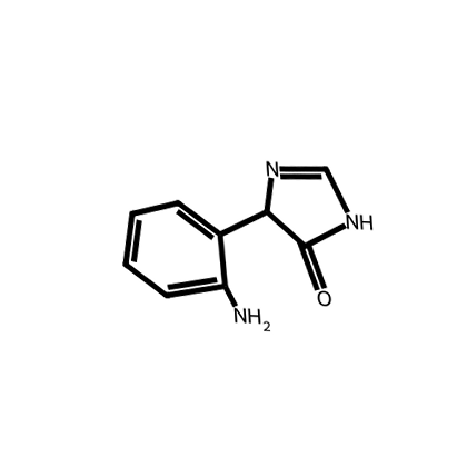 Nc1ccccc1C1N=CNC1=O